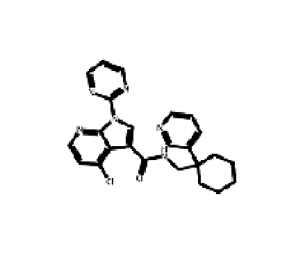 O=C(NCC1(c2cccnc2)CCCCC1)c1cn(-c2ncccn2)c2nccc(Cl)c12